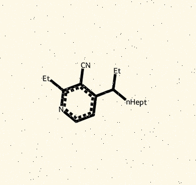 CCCCCCCC(CC)c1ccnc(CC)c1C#N